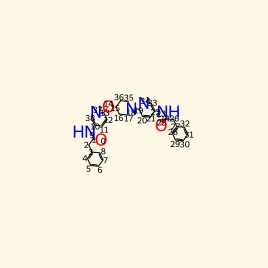 O=C(Cc1ccccc1)Nc1ccc(OC2CCN(c3ccc(NC(=O)Cc4ccccc4)cn3)CC2)nc1